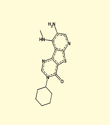 CNc1c(N)cnc2sc3c(=O)n(C4CCCCC4)cnc3c12